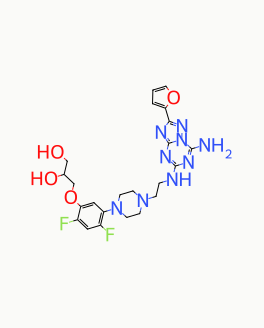 Nc1nc(NCCN2CCN(c3cc(OCC(O)CO)c(F)cc3F)CC2)nc2nc(-c3ccco3)nn12